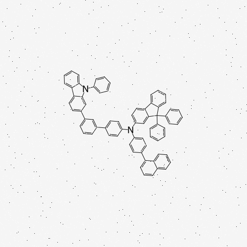 c1ccc(-n2c3ccccc3c3ccc(-c4cccc(-c5ccc(N(c6ccc(-c7cccc8ccccc78)cc6)c6ccc7c(c6)C(c6ccccc6)(c6ccccc6)c6ccccc6-7)cc5)c4)cc32)cc1